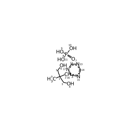 CC(C)(CO)CO.O=P(O)(O)O.c1ncncn1